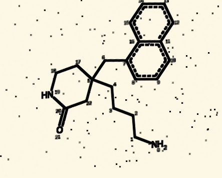 NCCCCC1(Cc2cccc3ccccc23)CCNC(=O)C1